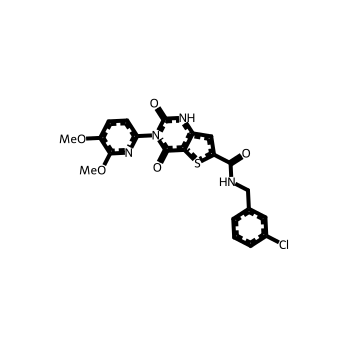 COc1ccc(-n2c(=O)[nH]c3cc(C(=O)NCc4cccc(Cl)c4)sc3c2=O)nc1OC